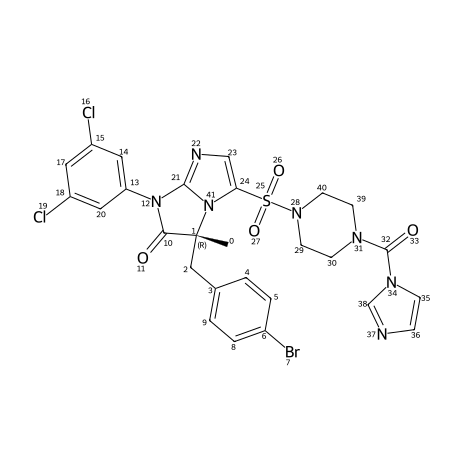 C[C@@]1(Cc2ccc(Br)cc2)C(=O)N(c2cc(Cl)cc(Cl)c2)c2ncc(S(=O)(=O)N3CCN(C(=O)n4ccnc4)CC3)n21